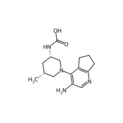 C[C@@H]1C[C@H](NC(=O)O)CN(c2c(N)cnc3c2CCC3)C1